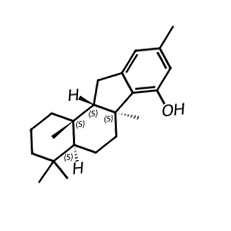 Cc1cc(O)c2c(c1)C[C@H]1[C@@]3(C)CCCC(C)(C)[C@@H]3CC[C@]21C